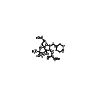 CCCCCCCCCCOC[C@@]12O[C@@H](CN3CCOCC3)[C@@H](OC(=O)NC)[C@@H]1OC(C)(C)O2